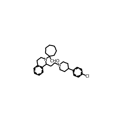 O=CC1(N2CCc3ccccc3C2CCN2CCC(c3ccc(Cl)cc3)CC2)CCCCCC1